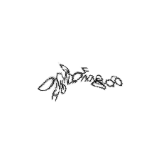 O=C1CCC(N2Cc3cc(N4CCN(S(=O)(=O)c5ccc6c(c5)CCO6)CC4)c(F)cc3C2=O)C(=O)N1